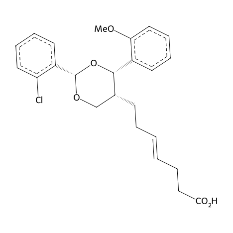 COc1ccccc1[C@H]1O[C@@H](c2ccccc2Cl)OC[C@H]1CCC=CCCC(=O)O